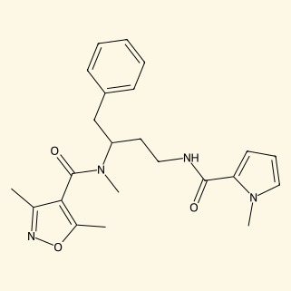 Cc1noc(C)c1C(=O)N(C)C(CCNC(=O)c1cccn1C)Cc1ccccc1